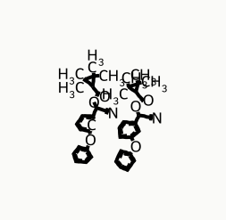 CC1(C)C(C(=O)OC(C#N)c2cccc(Oc3ccccc3)c2)C1(C)C.CC1(C)C(C(=O)OC(C#N)c2cccc(Oc3ccccc3)c2)C1(C)C